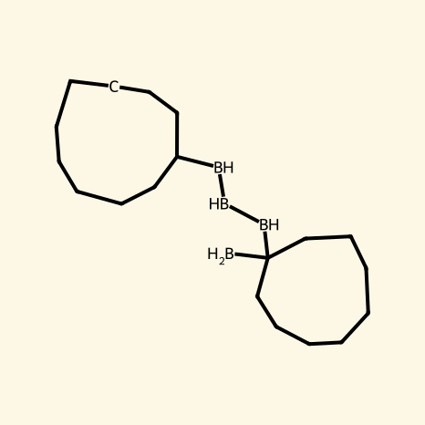 BC1(BBBC2CCCCCCCCC2)CCCCCCCC1